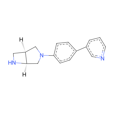 c1cncc(-c2ccc(N3C[C@@H]4CN[C@@H]4C3)cc2)c1